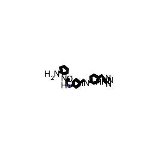 Nc1ccccc1NC(=O)/C=C\c1ccc(CNc2ccc(Cc3nnn[nH]3)cc2)cc1